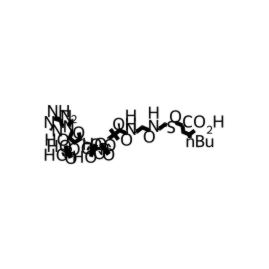 CCCCC(C)CC(C(=O)O)C(=O)SCCNC(=O)CCNC(=O)[C@H](O)C(C)(C)COP(=O)(O)OP(=O)(O)OC[C@H]1O[C@@H](n2cnc3c(N)ncnc32)[C@H](O)[C@@H]1OP(=O)(O)O